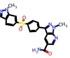 Cn1ncc2ccc(S(=O)(=O)c3ccc(-c4nn(C)c5ncc(C(N)=O)cc45)cc3)cc21